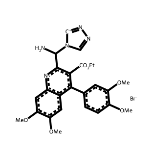 CCOC(=O)c1c(C(N)N2[C+]=NN=C2)nc2cc(OC)c(OC)cc2c1-c1ccc(OC)c(OC)c1.[Br-]